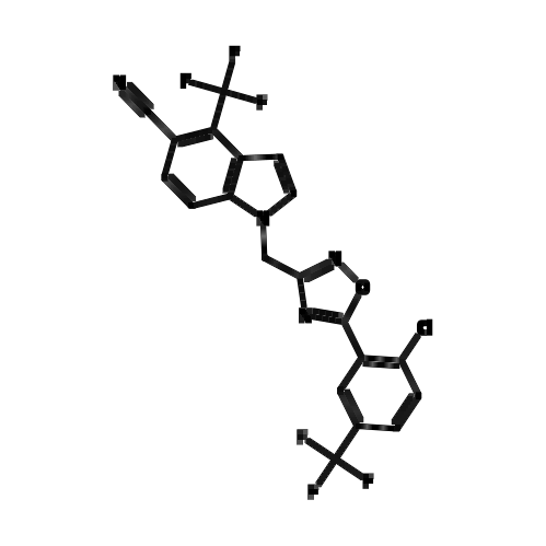 N#Cc1ccc2c(ccn2Cc2noc(-c3cc(C(F)(F)F)ccc3Cl)n2)c1C(F)(F)F